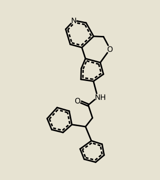 O=C(CC(c1ccccc1)c1ccccc1)Nc1ccc2c(c1)OCc1cnccc1-2